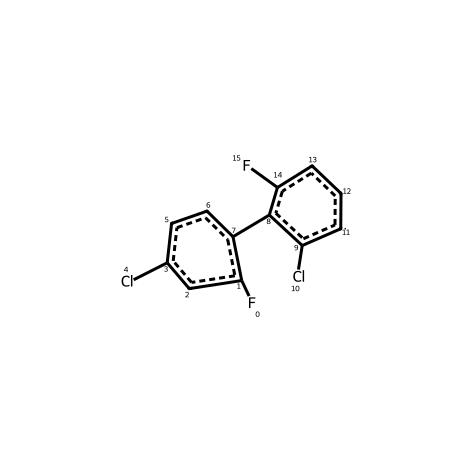 Fc1cc(Cl)ccc1-c1c(Cl)[c]ccc1F